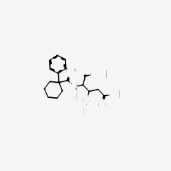 O=C(O)CC(O)C(NC(=O)C1(c2ccccc2)CCCCC1)C(=O)O